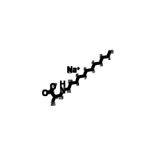 CCCCCCCCCCCCNCC(C)C(=O)[O-].[Na+]